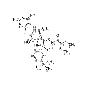 CCN(CC)C(=O)N1CCC(NC[C@@H](O)[C@H](Cc2cc(F)cc(F)c2)NC(C)=O)(c2cccc(C(C)(C)C)c2)CC1